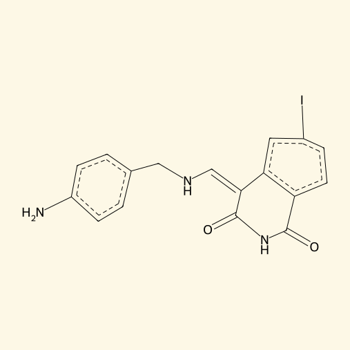 Nc1ccc(CNC=C2C(=O)NC(=O)c3ccc(I)cc32)cc1